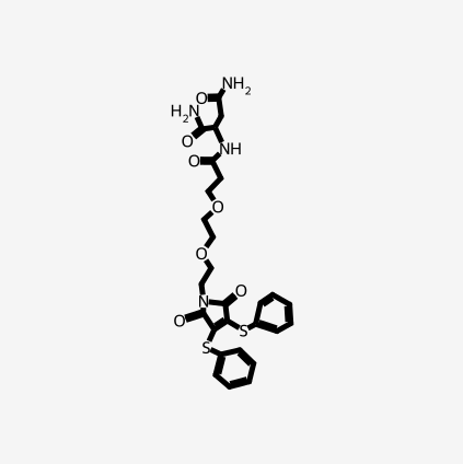 NC(=O)CC(NC(=O)CCOCCOCCN1C(=O)C(Sc2ccccc2)=C(Sc2ccccc2)C1=O)C(N)=O